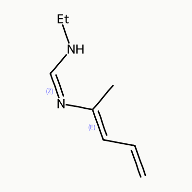 C=C/C=C(C)/N=C\NCC